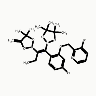 C=C1OB(/C(CC)=C(\B2OC(C)(C)C(C)(C)O2)c2ccc(Cl)cc2OCc2ncccc2Br)OC1(C)C